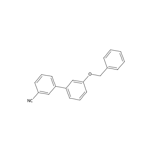 N#Cc1cccc(-c2cccc(OCc3ccccc3)c2)c1